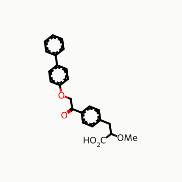 COC(Cc1ccc(C(=O)COc2ccc(-c3ccccc3)cc2)cc1)C(=O)O